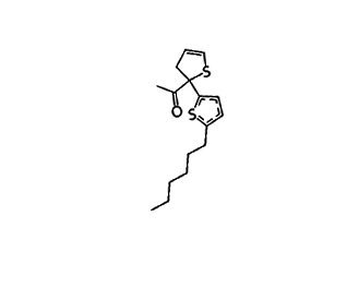 CCCCCCc1ccc(C2(C(C)=O)CC=CS2)s1